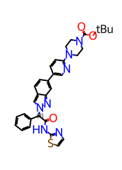 CC(C)(C)OC(=O)N1CCN(c2ccc(-c3ccc4cn([C@@H](C(=O)Nc5nccs5)c5ccccc5)nc4c3)cn2)CC1